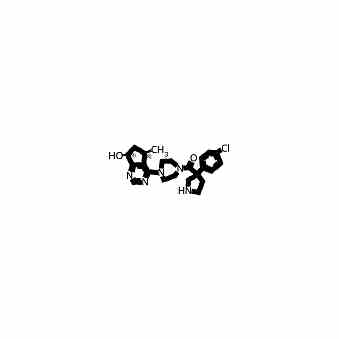 C[C@@H]1C[C@@H](O)c2ncnc(N3CCN(C(=O)C4(c5ccc(Cl)cc5)CCNC4)CC3)c21